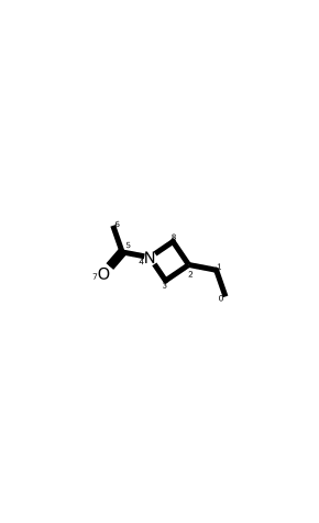 CCC1CN(C(C)=O)C1